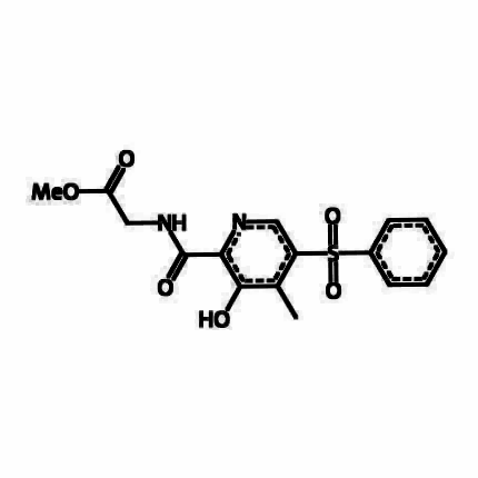 COC(=O)CNC(=O)c1ncc(S(=O)(=O)c2ccccc2)c(C)c1O